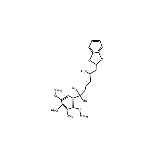 CCCCCOc1cc(C(C#N)(CCCC(N)CC2Oc3ccccc3O2)C(C)CC)c(OCCCCC)c(OC)c1OC